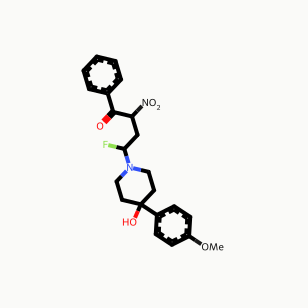 COc1ccc(C2(O)CCN(C(F)CC(C(=O)c3ccccc3)[N+](=O)[O-])CC2)cc1